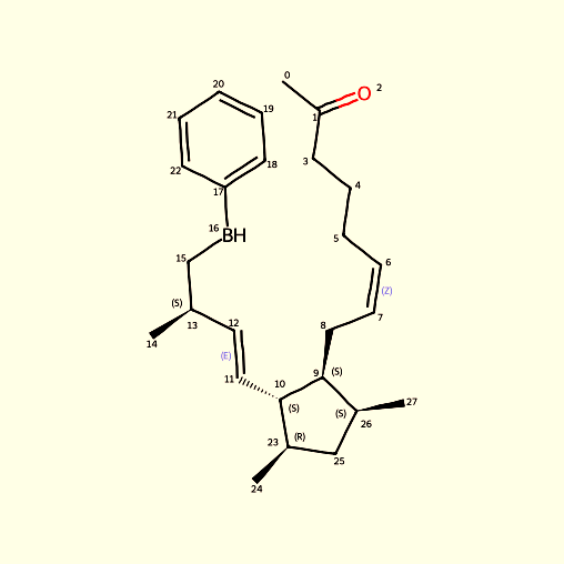 CC(=O)CCC/C=C\C[C@@H]1[C@@H](/C=C/[C@@H](C)CBc2ccccc2)[C@H](C)C[C@@H]1C